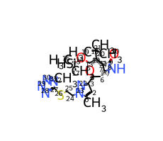 Cc1cc(C(=O)C[C@H]2NC(=O)[C@H]2[C@@H](CO[SiH](C)C)C(C)(C)C)nn1CCSc1nnnn1C